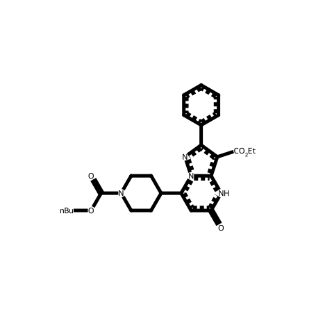 CCCCOC(=O)N1CCC(c2cc(=O)[nH]c3c(C(=O)OCC)c(-c4ccccc4)nn23)CC1